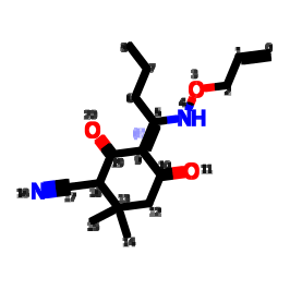 C=CCON/C(CCC)=C1\C(=O)CC(C)(C)C(C#N)C1=O